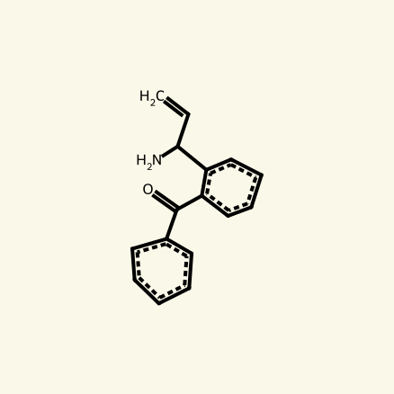 C=CC(N)c1ccccc1C(=O)c1ccccc1